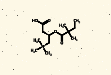 CCC(C)(C)C(=O)O[C@H](CC(=O)O)C[N+](C)(C)C